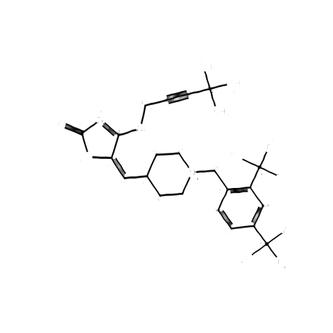 CC(C)(O)C#CCNC1=NC(=O)SC1=CC1CCN(Cc2ccc(C(F)(F)F)cc2C(F)(F)F)CC1